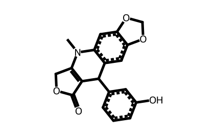 CN1C2=C(C(=O)OC2)C(c2cccc(O)c2)c2cc3c(cc21)OCO3